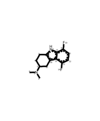 CN(C)C1CCc2[nH]c3c(F)ccc(F)c3c2C1